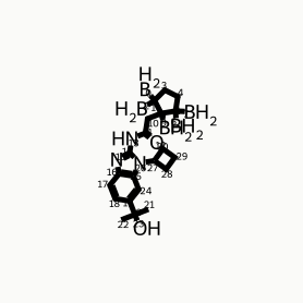 BC1(B)CCC(B)(B)C1(B)CC(=O)Nc1nc2ccc(C(C)(C)O)cc2n1C1CCC1